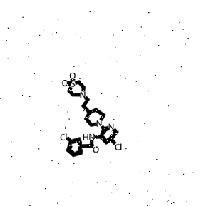 O=C(Nc1cc(Cl)cnc1N1CCC(CCN2CCS(=O)(=O)CC2)CC1)c1cccc(Cl)c1